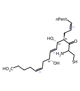 CCCCC/C=C\C[C@@H](C(=O)C(N)CS)[C@@H](O)/C=C/[C@H](O)C/C=C\CCCC(=O)O